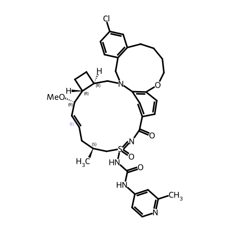 CO[C@H]1/C=C/C[C@H](C)CS(=O)(NC(=O)Nc2ccnc(C)c2)=NC(=O)c2ccc3c(c2)N(Cc2ccc(Cl)cc2CCCCO3)C[C@@H]2CC[C@H]21